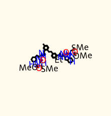 CCc1ccc(CCc2ccc(C)cc2-c2c[nH]c([C@@H]3CC4CCCCC4N3C(=O)[C@H](CCSC)NC(=O)OC)n2)cc1-c1c[nH]c([C@@H]2CC3CCCCC3N2C(=O)[C@H](CCSC)NC(=O)OC)n1